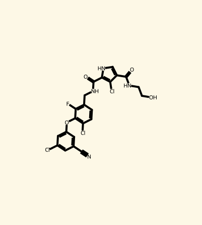 N#Cc1cc(Cl)cc(Oc2c(Cl)ccc(CNC(=O)c3[nH]cc(C(=O)NCCO)c3Cl)c2F)c1